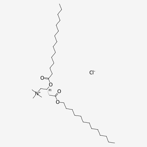 CCCCCCCCCCCCCCC(=O)O[C@H](CC(=O)OCCCCCCCCCCCCC)C[N+](C)(C)C.[Cl-]